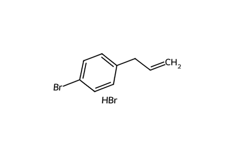 Br.C=CCc1ccc(Br)cc1